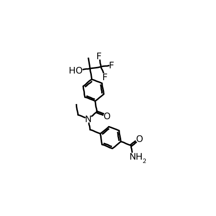 CCN(Cc1ccc(C(N)=O)cc1)C(=O)c1ccc(C(C)(O)C(F)(F)F)cc1